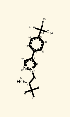 CC(C)(C)[C@H](O)Cn1cc(-c2ccc(C(F)(F)F)cc2)cn1